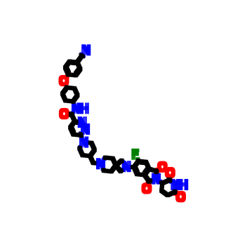 N#Cc1ccc(O[C@H]2CC[C@H](NC(=O)c3ccc(N4CCC(CN5CCC6(CC5)CN(c5cc7c(cc5F)C(=O)N(C5CCC(=O)NC5=O)C7=O)C6)CC4)nn3)CC2)cc1